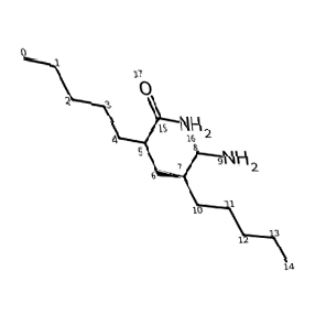 CCCCCC(C[C@@H](CN)CCCCC)C(N)=O